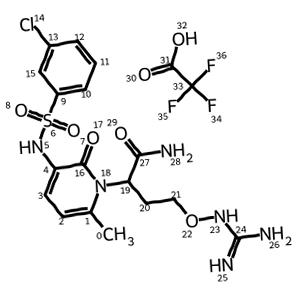 Cc1ccc(NS(=O)(=O)c2cccc(Cl)c2)c(=O)n1C(CCONC(=N)N)C(N)=O.O=C(O)C(F)(F)F